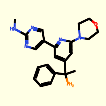 CNc1ncc(-c2cc(C(C)(P)c3ccccc3)cc(N3CCOCC3)n2)cn1